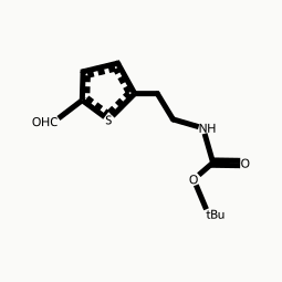 CC(C)(C)OC(=O)NCCc1ccc(C=O)s1